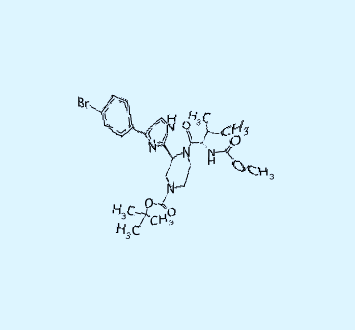 COC(=O)N[C@H](C(=O)N1CCN(C(=O)OC(C)(C)C)C[C@H]1c1nc(-c2ccc(Br)cc2)c[nH]1)C(C)C